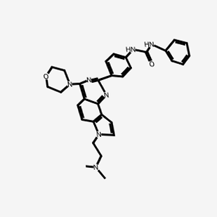 CN(C)CCn1ccc2c3nc(-c4ccc(NC(=O)Nc5ccccc5)cc4)nc(N4CCOCC4)c3ccc21